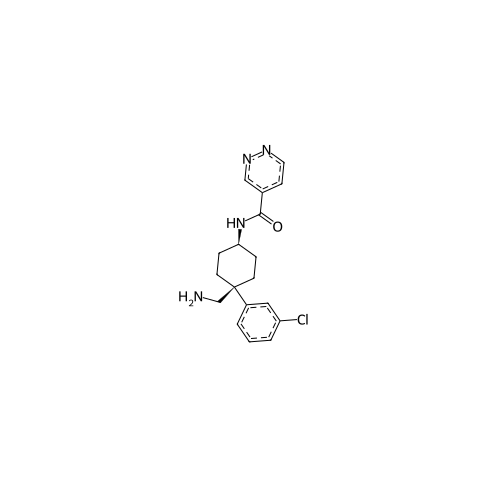 NC[C@]1(c2cccc(Cl)c2)CC[C@H](NC(=O)c2ccnnc2)CC1